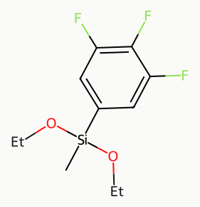 CCO[Si](C)(OCC)c1cc(F)c(F)c(F)c1